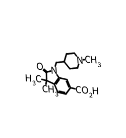 CN1CCC(CN2C(=O)C(C)(C)c3ccc(C(=O)O)cc32)CC1